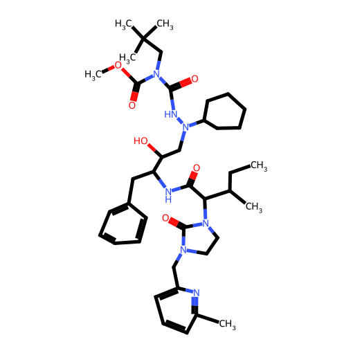 CCC(C)C(C(=O)NC(Cc1ccccc1)C(O)CN(NC(=O)N(CC(C)(C)C)C(=O)OC)C1CCCCC1)N1CCN(Cc2cccc(C)n2)C1=O